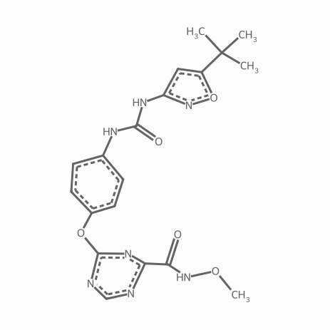 CONC(=O)c1ncnc(Oc2ccc(NC(=O)Nc3cc(C(C)(C)C)on3)cc2)n1